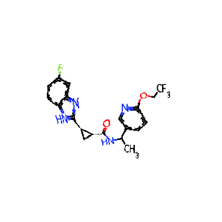 CC(NC(=O)[C@@H]1C[C@H]1c1nc2cc(F)ccc2[nH]1)c1ccc(OCC(F)(F)F)nc1